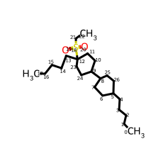 CCCCCC1CCC(C2CCC(CCCCC)(S(=O)(=O)CC)CC2)CC1